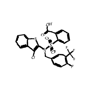 O=C(O)c1ccccc1S(=O)(=O)N(Cc1ccc(F)c(C(F)(F)F)c1)c1sc2ccccc2c1Cl